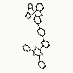 c1ccc(-c2nc(-c3ccccc3)nc(-c3cccc(-c4ccc(-c5ccc6c(c5)Sc5ccccc5C65c6ccccc6-c6ccccc65)cc4)c3)n2)cc1